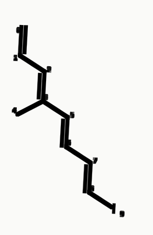 C=C/C=C(C)/C=C/C=C/I